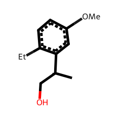 CCc1ccc(OC)cc1[C](C)CO